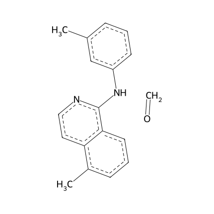 C=O.Cc1cccc(Nc2nccc3c(C)cccc23)c1